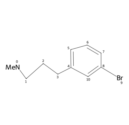 CNCCCc1cccc(Br)c1